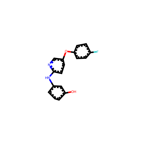 Oc1cccc(Nc2ccc(Oc3ccc(F)cc3)cn2)c1